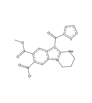 COC(=O)c1cc2c(C(=O)c3cccs3)c3n(c2cc1[N+](=O)[O-])CCCN3